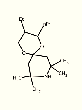 CCCC1OC2(CC(C)(C)NC(C)(C)C2)OCC1CC